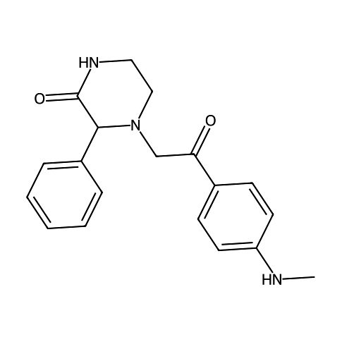 CNc1ccc(C(=O)CN2CCNC(=O)C2c2ccccc2)cc1